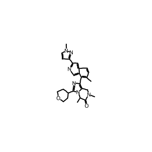 Cc1ccc2cc(-c3ccn(C)n3)ncc2c1-c1nc(C2CCOCC2)n2c1CN(C)C(=O)C2C